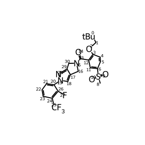 CC(C)(C)COc1ccc(S(C)(=O)=O)cc1C(=O)N1Cc2cn(-c3cccc(C(F)(F)F)c3F)nc2C1